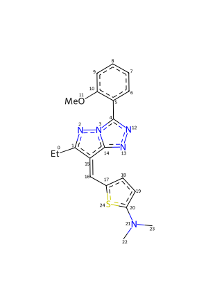 CCc1nn2c(-c3ccccc3OC)nnc2/c1=C\c1ccc(N(C)C)s1